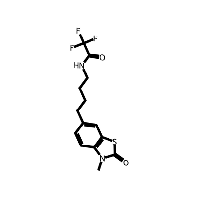 Cn1c(=O)sc2cc(CCCCNC(=O)C(F)(F)F)ccc21